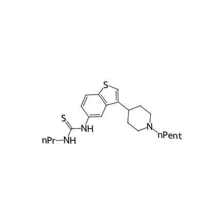 CCCCCN1CCC(c2csc3ccc(NC(=S)NCCC)cc23)CC1